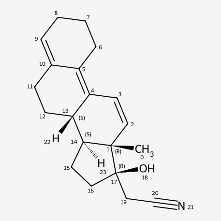 C[C@]12C=CC3=C4CCCC=C4CC[C@H]3[C@@H]1CC[C@@]2(O)CC#N